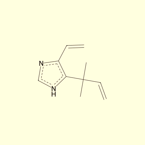 C=Cc1nc[nH]c1C(C)(C)C=C